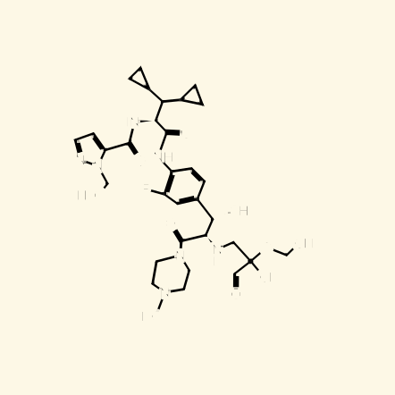 CCOC(C)(C=O)CN[C@@H](C(=O)N1CCN(C)CC1)[C@@H](C)c1ccc(NC(=O)[C@@H](NC(=O)c2ccnn2CC)C(C2CC2)C2CC2)c(F)c1